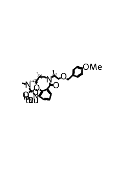 COc1ccc(COC[C@H](C)N2C[C@@H](C)[C@@H](CN(C)C(=O)OC(C)(C)C)Oc3c(N)cccc3C2=O)cc1